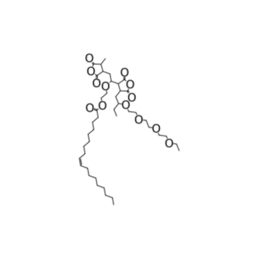 CCCCCCCC/C=C\CCCCCCCC(=O)OCCOC(CC1C(=O)OC(=O)C1C)C1C(=O)OC(=O)C1CC(CC)OCCOCCOCCOCC